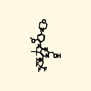 COc1cc(N2CCOCC2)ccc1N1CC(C)(C)c2c(NCC(F)(F)F)nc(CO)nc21